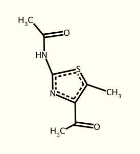 CC(=O)Nc1nc(C(C)=O)c(C)s1